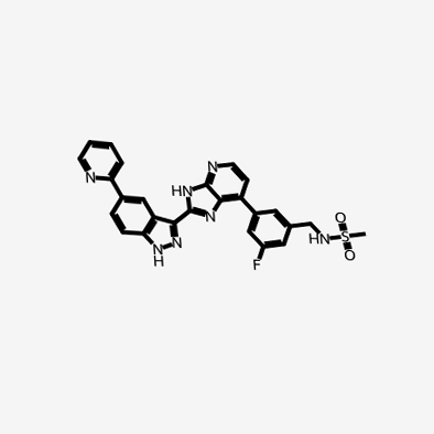 CS(=O)(=O)NCc1cc(F)cc(-c2ccnc3[nH]c(-c4n[nH]c5ccc(-c6ccccn6)cc45)nc23)c1